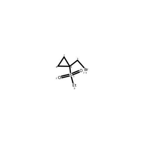 CCS(=O)(=O)C1(CBr)CC1